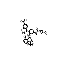 COC1CN(C(=O)N(C)C2CCC(C(=N)c3ccc(C(=O)O)cc3F)=C(NC(=O)c3c(Cl)cccc3C3(C(F)(F)F)CC3)C2)C1